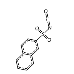 O=C=NS(=O)(=O)c1ccc2ccccc2c1